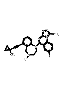 Cc1nnc2nc(N3CCN(C)Cc4c(C#CC5(C(F)(F)F)CC5)cccc43)c3cc(F)ccc3n12